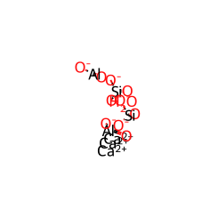 O.O=[Si]([O-])[O-].O=[Si]([O-])[O-].[Ca+2].[Ca+2].[Ca+2].[O]=[Al][O-].[O]=[Al][O-]